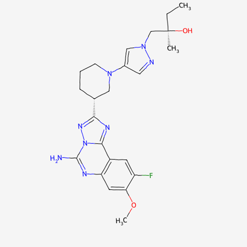 CC[C@@](C)(O)Cn1cc(N2CCC[C@@H](c3nc4c5cc(F)c(OC)cc5nc(N)n4n3)C2)cn1